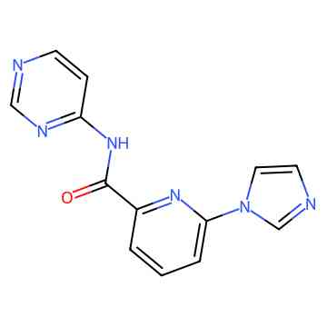 O=C(Nc1ccncn1)c1cccc(-n2ccnc2)n1